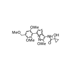 COCc1cc(OC)c(-c2csc3c(NC(=O)C4(O)CC4)c(OC)nn23)c(OC)c1